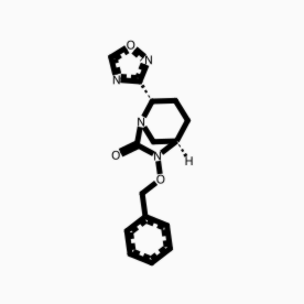 O=C1N2C[C@@H](CC[C@H]2c2ncon2)N1OCc1ccccc1